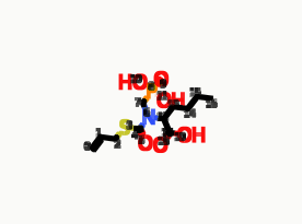 C=CCSC(=O)N(CP(=O)(O)O)C(CCCC)C(=O)O